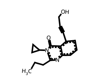 CCCc1nc2cccc(C#CCO)c2c(=O)n1C1CC1